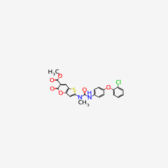 COC(=O)c1cc2sc(N(C)C(=O)Nc3ccc(Oc4ccccc4Cl)cc3)cc2oc1=O